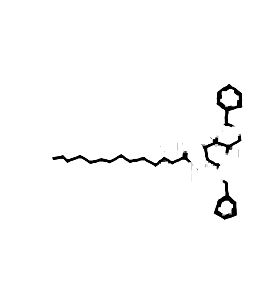 CCCCCCCCCCC[C@H](O)CC(=O)N[C@H]1[C@@H](OCc2ccccc2)O[C@@H]2COC(c3ccccc3)O[C@H]2[C@@H]1O